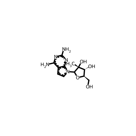 C[C@]1(O)C(n2ccc3c(N)nc(N)nc32)O[C@H](CO)[C@H]1O